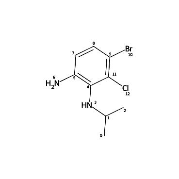 CC(C)Nc1c(N)ccc(Br)c1Cl